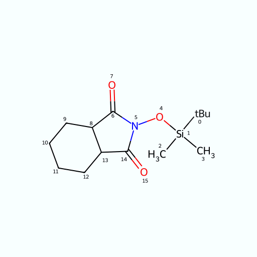 CC(C)(C)[Si](C)(C)ON1C(=O)C2CCCCC2C1=O